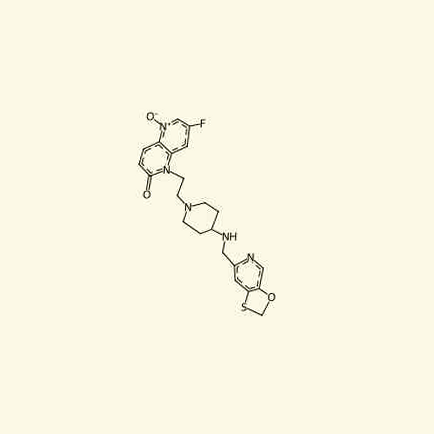 O=c1ccc2c(cc(F)c[n+]2[O-])n1CCN1CCC(NCc2cc3c(cn2)OCS3)CC1